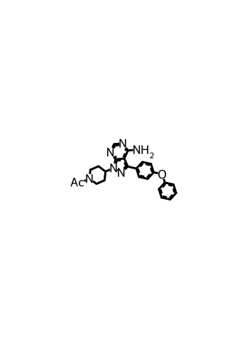 CC(=O)N1CCC(n2nc(-c3ccc(Oc4ccccc4)cc3)c3c(N)ncnc32)CC1